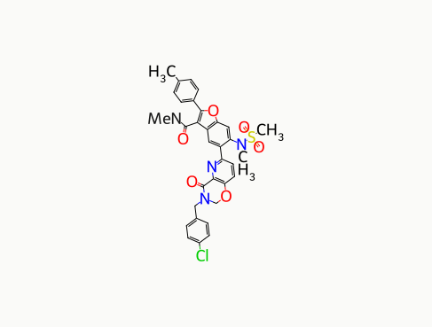 CNC(=O)c1c(-c2ccc(C)cc2)oc2cc(N(C)S(C)(=O)=O)c(-c3ccc4c(n3)C(=O)N(Cc3ccc(Cl)cc3)CO4)cc12